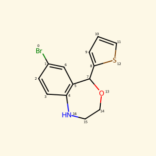 Brc1ccc2c(c1)C(c1cccs1)OCCN2